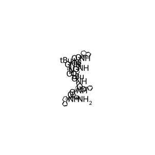 C[C@@H](C(=O)N[C@H](C(=O)N1C[C@@H](NC(=O)CCCC(=O)NCCC[C@H](NC(=O)OCc2ccccc2)C(=O)C2C[C@@H](N)C[C@H]2C(=O)N[C@@H]2CCCc3ccccc32)C[C@H]1C(=O)N[C@@H]1CCCc2ccccc21)C(C)(C)C)N(C)C(=O)OC(C)(C)C